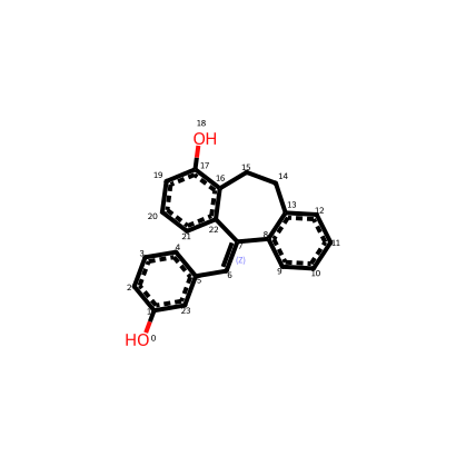 Oc1cccc(/C=C2/c3ccccc3CCc3c(O)cccc32)c1